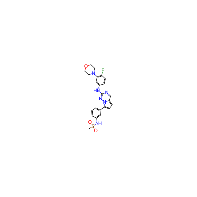 CS(=O)(=O)Nc1cccc(-c2ccc3cnc(Nc4ccc(F)c(N5CCOCC5)c4)nn23)c1